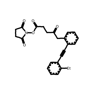 CCc1ccccc1C#Cc1ccccc1CC(=O)CCC(=O)ON1C(=O)CCC1=O